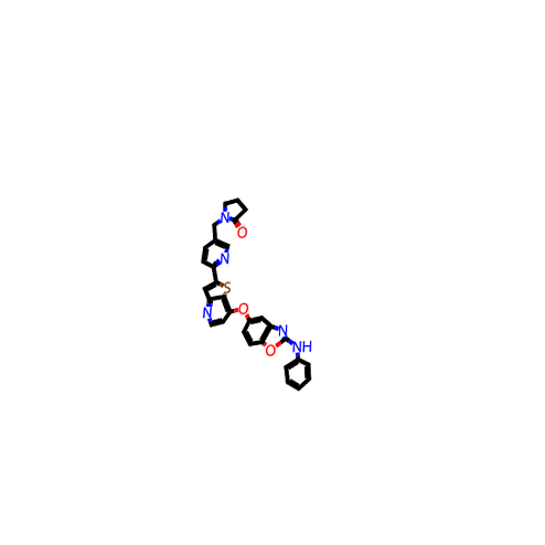 O=C1CCCN1Cc1ccc(-c2cc3nccc(Oc4ccc5oc(Nc6ccccc6)nc5c4)c3s2)nc1